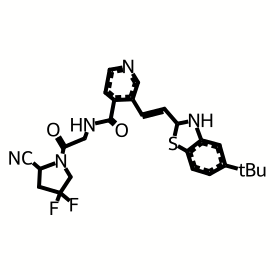 CC(C)(C)c1ccc2c(c1)NC(/C=C/c1cnccc1C(=O)NCC(=O)N1CC(F)(F)CC1C#N)S2